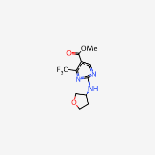 COC(=O)c1cnc(N[C@H]2CCOC2)nc1C(F)(F)F